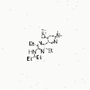 CCOc1cc(N(C)C)ncc1-c1nc(CC)c(NC(CC)CC)nc1CC